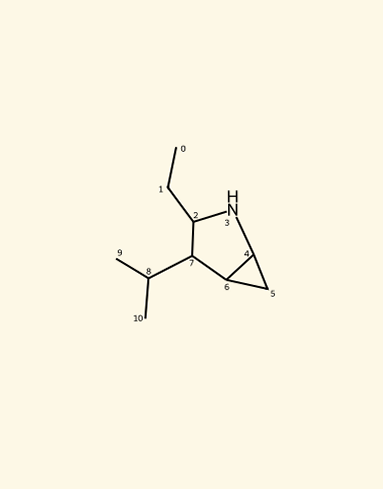 CCC1NC2CC2C1C(C)C